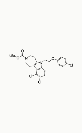 CC(C)(C)OC(=O)N1CCc2c(n(CCOc3ccc(Cl)cc3)c3ccc(Cl)c(Cl)c23)CC1